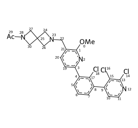 COc1nc(-c2cccc(-c3ccnc(Cl)c3Cl)c2Cl)ccc1CN1CC2(C1)CN(C(C)=O)C2